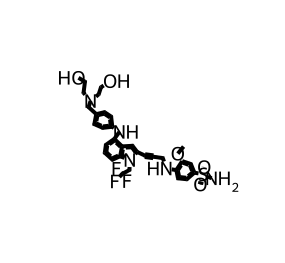 COc1cc(S(N)(=O)=O)ccc1NCC#Cc1cc2c(Nc3ccc(CN(CCO)CCO)cc3)cccc2n1CC(F)(F)F